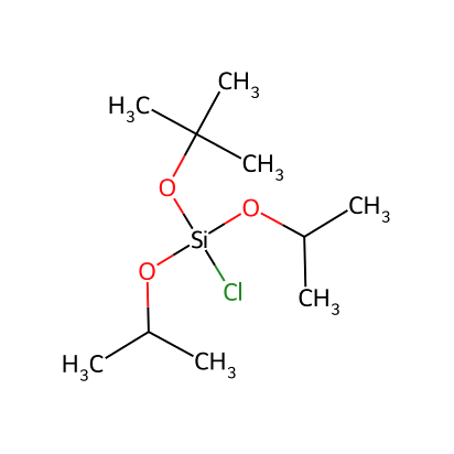 CC(C)O[Si](Cl)(OC(C)C)OC(C)(C)C